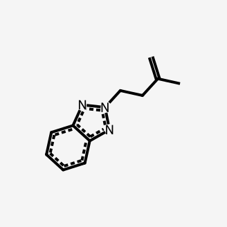 C=C(C)CCn1nc2ccccc2n1